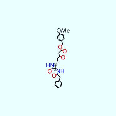 COc1ccc(COC(=O)CC(=O)CC[C@H]2NC(=O)[C@H]2NC(=O)Cc2ccccc2)cc1